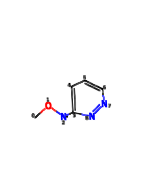 CO[N]c1cccnn1